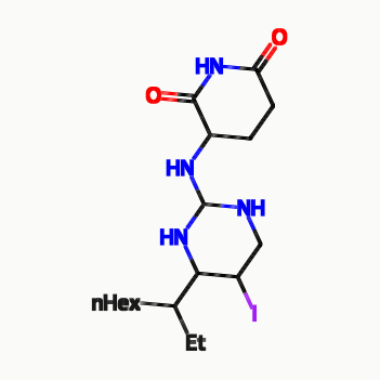 CCCCCCC(CC)C1NC(NC2CCC(=O)NC2=O)NCC1I